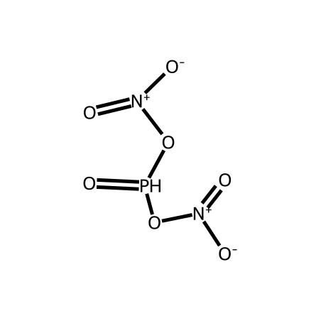 O=[N+]([O-])O[PH](=O)O[N+](=O)[O-]